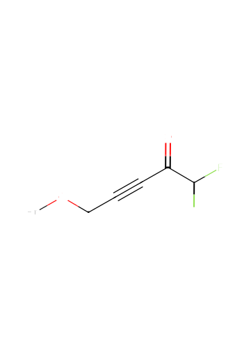 CCOCC#CC(=O)C(F)F